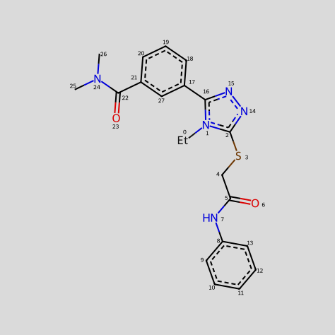 CCn1c(SCC(=O)Nc2ccccc2)nnc1-c1cccc(C(=O)N(C)C)c1